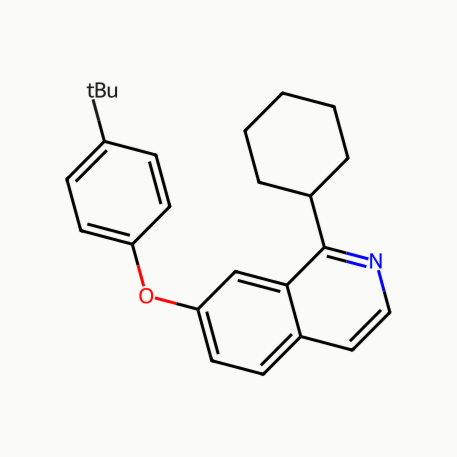 CC(C)(C)c1ccc(Oc2ccc3ccnc(C4CCCCC4)c3c2)cc1